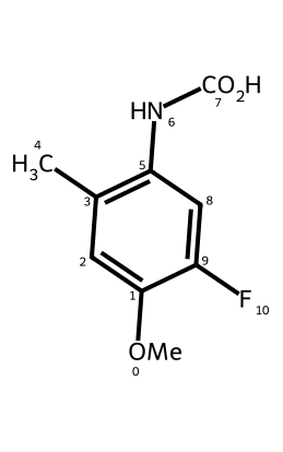 COc1cc(C)c(NC(=O)O)cc1F